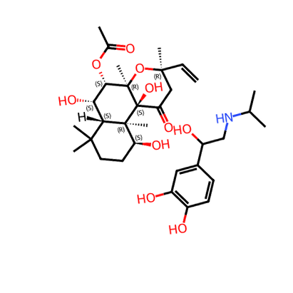 C=C[C@@]1(C)CC(=O)[C@]2(O)[C@@]3(C)[C@@H](O)CCC(C)(C)[C@@H]3[C@H](O)[C@H](OC(C)=O)[C@@]2(C)O1.CC(C)NCC(O)c1ccc(O)c(O)c1